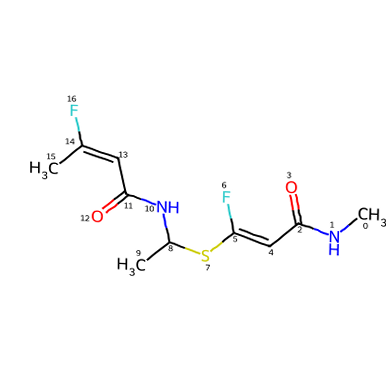 CNC(=O)/C=C(\F)SC(C)NC(=O)/C=C(\C)F